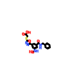 O=C(O)CSc1nnc(-c2cc(NO)cc(C(=O)NCc3ccccc3)c2)o1